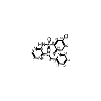 O=S(=O)(Nc1nccnc1OCc1ccccn1)C1=CC(Cl)=CCC1=S